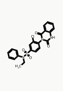 CCN(c1ccccc1)S(=O)(=O)c1ccc(-n2c(=O)[nH]c3ccccc3c2=O)c(Cl)c1